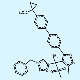 CCOC(=O)C1(c2ccc(-c3ccc(-c4onc(C)c4C(N)(c4cn(Cc5ccccc5)nn4)S(C)(=O)=O)cc3)cc2)CC1